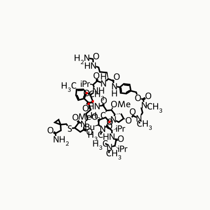 CC[C@H](C)C([C@@H](CC(=O)N1C[C@@H](OC(=O)N(C)CCN(C)C(=O)OCc2ccc(NC(=O)[C@H](CCCNC(N)=O)NC(=O)[C@@H](NC(=O)CCCCCN3C(=O)CC(SCC4(CC(N)=O)CC4)C3=O)C(C)C)cc2)C[C@H]1[C@H](OC)[C@@H](C)C(=O)NCC(=O)c1ccc(C)cc1C)OC)N(C)C(=O)[C@@H](NC(=O)[C@H](C(C)C)N(C)C)C(C)C